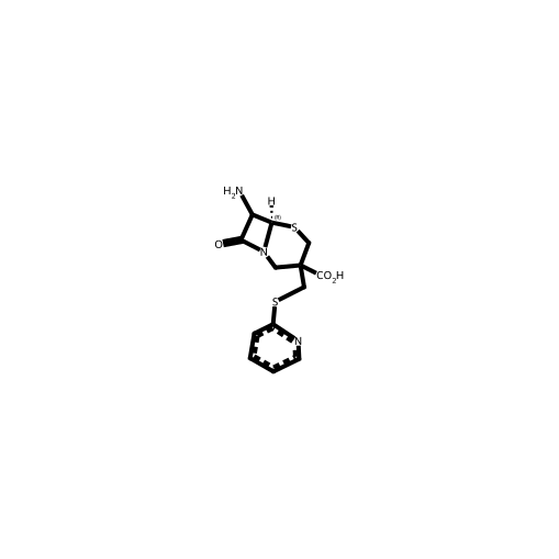 NC1C(=O)N2CC(CSc3ccccn3)(C(=O)O)CS[C@H]12